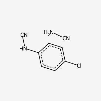 N#CN.N#CNc1ccc(Cl)cc1